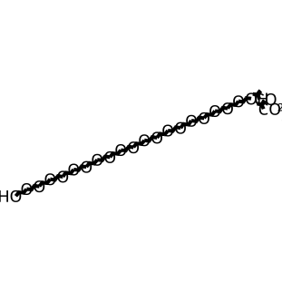 C=C(C)C(=O)O.C=C(C)C(=O)O.OCCOCCOCCOCCOCCOCCOCCOCCOCCOCCOCCOCCOCCOCCOCCOCCOCCOCCOCCOCCO